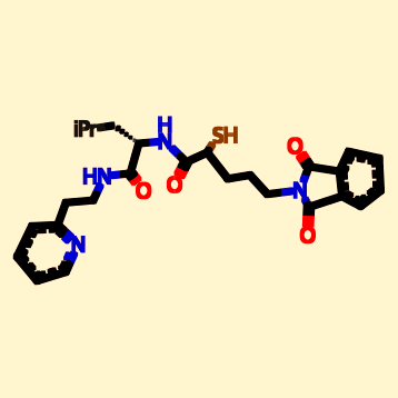 CC(C)C[C@H](NC(=O)C(S)CCCN1C(=O)c2ccccc2C1=O)C(=O)NCCc1ccccn1